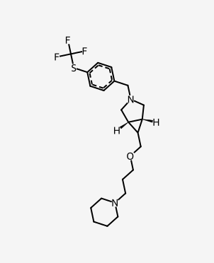 FC(F)(F)Sc1ccc(CN2C[C@@H]3C(COCCCN4CCCCC4)[C@@H]3C2)cc1